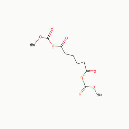 CC(C)(C)OC(=O)OC(=O)CCCCC(=O)OC(=O)OC(C)(C)C